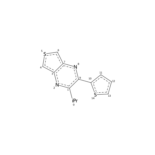 CC(C)c1nc2cscc2nc1-c1cccs1